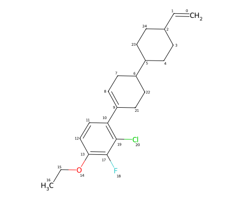 C=CC1CCC(C2CC=C(c3ccc(OCC)c(F)c3Cl)CC2)CC1